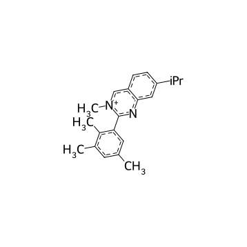 Cc1cc(C)c(C)c(-c2nc3cc(C(C)C)ccc3c[n+]2C)c1